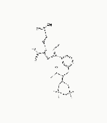 CC(=O)N(Cc1cccc(-c2sc(C(=O)O)c(OCC(=O)O)c2C)c1)C1CC(C)(C)CC(C)(C)C1